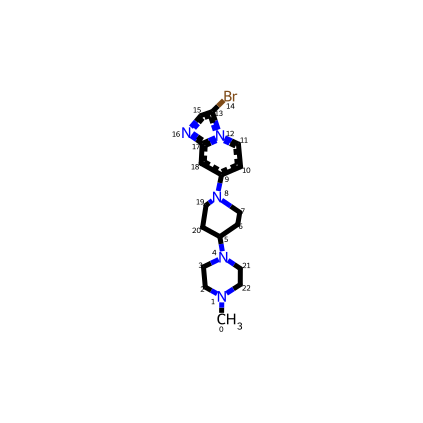 CN1CCN(C2CCN(c3ccn4c(Br)cnc4c3)CC2)CC1